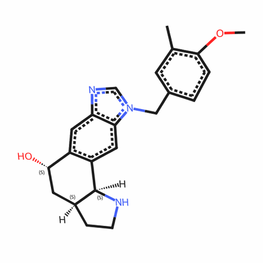 COc1ccc(Cn2cnc3cc4c(cc32)[C@H]2NCC[C@H]2C[C@@H]4O)cc1C